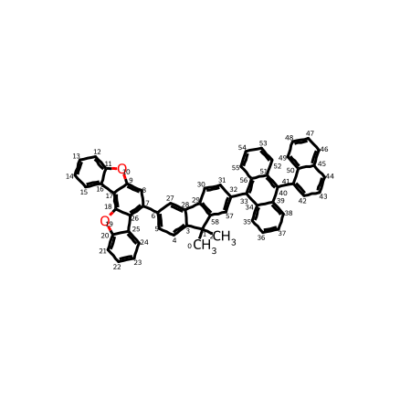 CC1(C)c2ccc(-c3cc4oc5ccccc5c4c4oc5ccccc5c34)cc2-c2ccc(-c3c4ccccc4c(-c4cccc5ccccc45)c4ccccc34)cc21